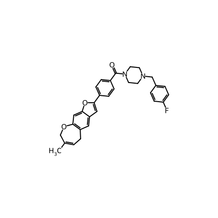 CC1=CCc2cc3cc(-c4ccc(C(=O)N5CCN(Cc6ccc(F)cc6)CC5)cc4)oc3cc2OC1